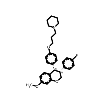 COc1ccc2c(c1)OC[C@@H](c1ccc(F)cc1)[C@H]2c1ccc(OCCCN2CCCCC2)cc1